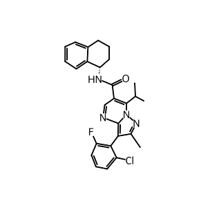 Cc1nn2c(C(C)C)c(C(=O)N[C@H]3CCCc4ccccc43)cnc2c1-c1c(F)cccc1Cl